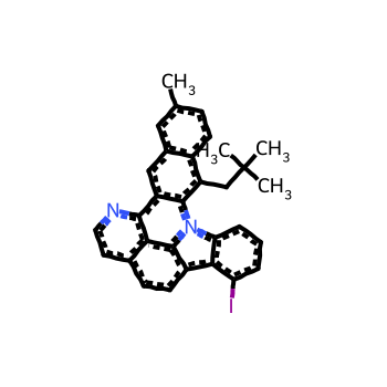 Cc1ccc2c(CC(C)(C)C)c3c(cc2c1)c1nccc2ccc4c5c(I)cccc5n3c4c21